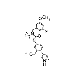 CCc1cc(N2CC3(CC3)N(Cc3cc(F)cc(OC)c3)C2=O)ccc1-c1cn[nH]c1